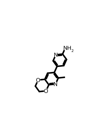 Cc1nc2c(cc1-c1ccc(N)nc1)OCCO2